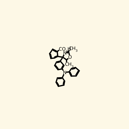 CC1=NC(c2cccc(N(c3ccccc3)c3ccccc3)c2)(c2ccccc2C(=O)O)C(C)O1